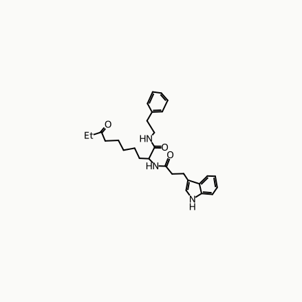 CCC(=O)CCCCCC(NC(=O)CCc1c[nH]c2ccccc12)C(=O)NCCc1ccccc1